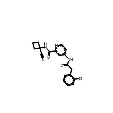 N#CC1(NC(=O)c2cc(NC(=O)Cc3ccccc3Cl)ccn2)CCC1